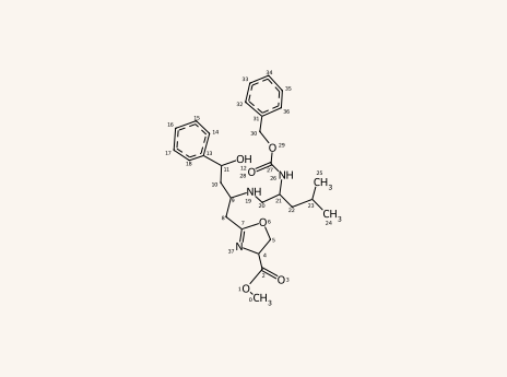 COC(=O)C1COC(CC(CC(O)c2ccccc2)NCC(CC(C)C)NC(=O)OCc2ccccc2)=N1